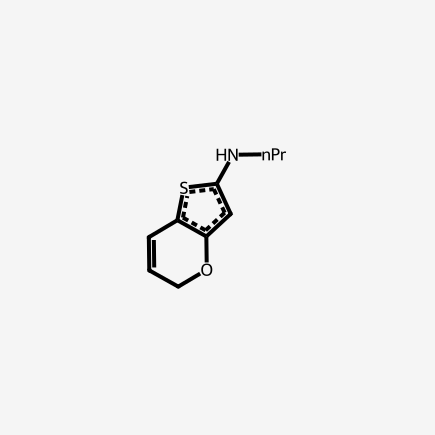 CCCNc1cc2c(s1)C=CCO2